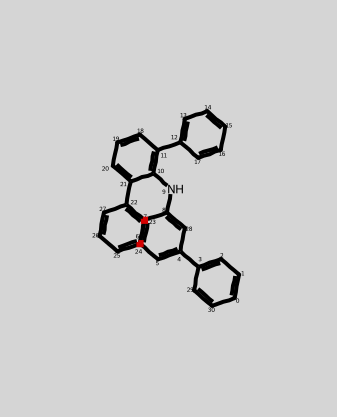 c1ccc(-c2cccc(Nc3c(-c4ccccc4)cccc3-c3ccccc3)c2)cc1